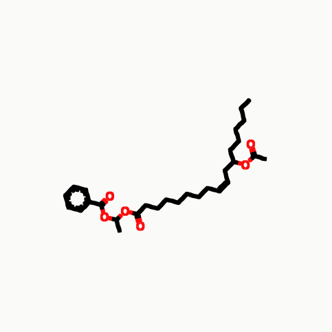 CCCCCCC(C/C=C\CCCCCCCC(=O)OC(C)OC(=O)c1ccccc1)OC(C)=O